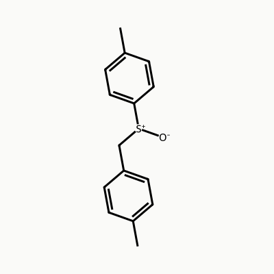 Cc1ccc(C[S+]([O-])c2ccc(C)cc2)cc1